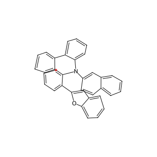 c1ccc(-c2ccccc2N(c2ccc3ccccc3c2)c2ccccc2-c2cc3ccccc3o2)cc1